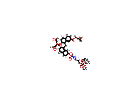 CCO[Si](CCCNC(=O)Oc1ccc2ccc(OCC3CO3)c(Cc3c(OCC4CO4)ccc4ccc(OCC5CO5)cc34)c2c1)(OCC)OCC